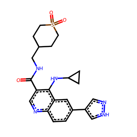 O=C(NCC1CCS(=O)(=O)CC1)c1cnc2ccc(-c3cn[nH]c3)cc2c1NC1CC1